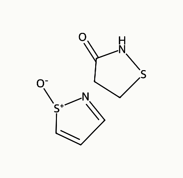 O=C1CCSN1.[O-][s+]1cccn1